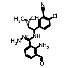 CN(C)CC(N/C(=N/N)c1cccc(C=O)c1N)c1ccc(Cl)c(C#N)c1